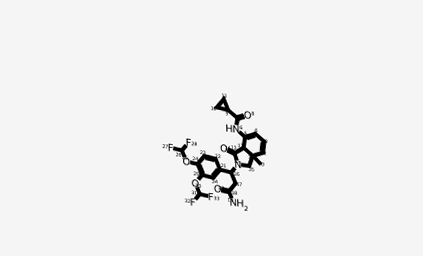 CC12C=CC=C(NC(=O)C3CC3)C1C(=O)N(C(CC(N)=O)c1ccc(OC(F)F)c(OC(F)F)c1)C2